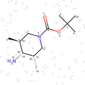 C[C@H]1CN(C(=O)OC(C)(C)C)C[C@H](F)[C@@H]1N